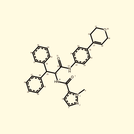 Cn1nccc1C(=O)NC(C(=O)Nc1ccc(C2=CCOCC2)cc1)C(c1ccccc1)c1ccccc1